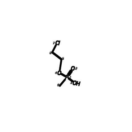 CP(=O)(O)OCCCl